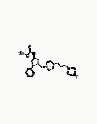 CC(C)(C)OC(=O)NC1CC(CN2CCC(CCCc3ccc(F)cc3)CC2)C(c2ccccc2)C1